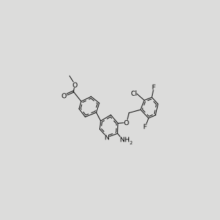 COC(=O)c1ccc(-c2cnc(N)c(OCc3c(F)ccc(F)c3Cl)c2)cc1